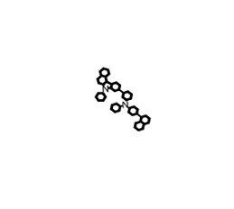 c1ccc(N(c2ccc(-c3cccc4ccccc34)cc2)c2cccc(-c3ccc4c5c6ccccc6ccc5n(-c5ccccc5)c4c3)c2)cc1